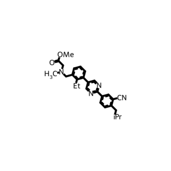 CCc1c(CN(C)CC(=O)OC)cccc1-c1cnc(-c2ccc(CC(C)C)c(C#N)c2)nc1